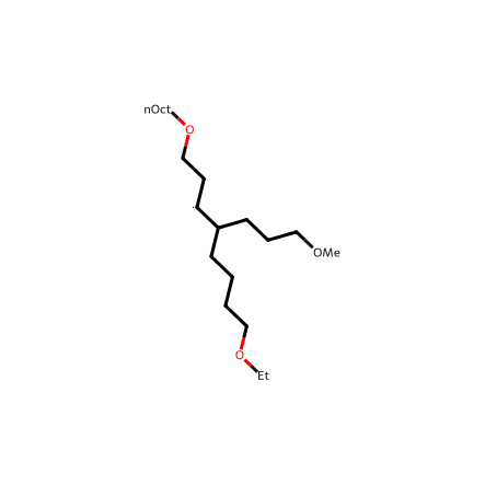 CCCCCCCCOCC[CH]C(CCCCOCC)CCCOC